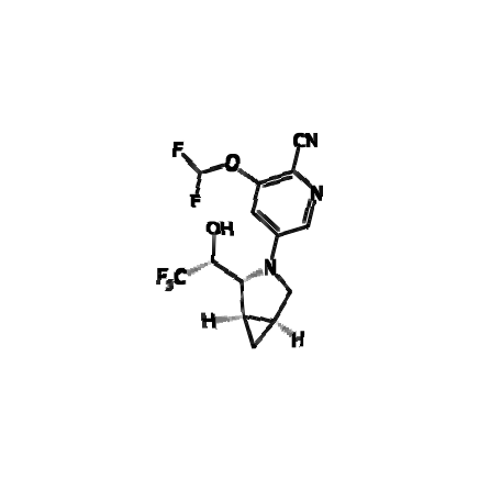 N#Cc1ncc(N2C[C@H]3C[C@H]3[C@@H]2[C@@H](O)C(F)(F)F)cc1OC(F)F